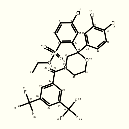 CCOS(=O)(=O)c1ccc(Cl)cc1[C@]1(c2ccc(Cl)c(Cl)c2)CN(C(=O)c2cc(C(F)(F)F)cc(C(F)(F)F)c2)CCO1